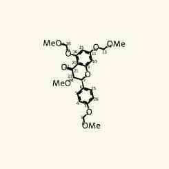 COCOc1ccc([C@@H]2Oc3cc(OCOC)cc(OCOC)c3C(=O)[C@H]2OC)cc1